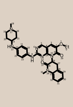 CCOc1cc2cnc(Nc3ccc(NC4CCN(C)CC4)cc3)nc2n(C2Cc3ccccc3N(C)C2=O)c1=O